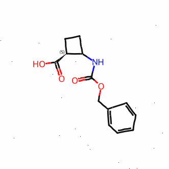 O=C(NC1CC[C@@H]1C(=O)O)OCc1ccccc1